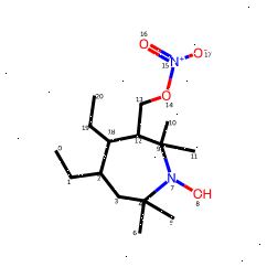 CCC1CC(C)(C)N(O)C(C)(C)C(CO[N+](=O)[O-])C1CC